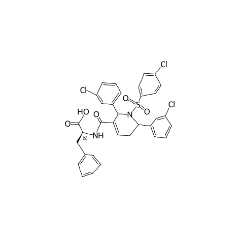 O=C(N[C@@H](Cc1ccccc1)C(=O)O)C1=CCC(c2cccc(Cl)c2)N(S(=O)(=O)c2ccc(Cl)cc2)C1c1cccc(Cl)c1